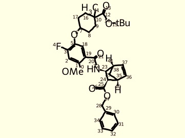 COc1cc(F)c(OC2CCC(C)(C(=O)OC(C)(C)C)CC2)cc1C(=O)N[C@@H]1[C@H](C(=O)OCc2ccccc2)[C@H]2C=C[C@@H]1C2